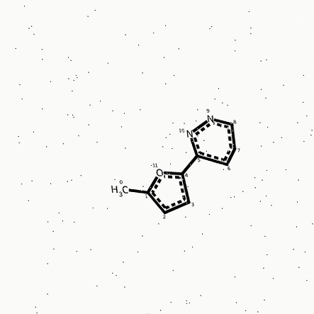 Cc1ccc(-c2cccnn2)o1